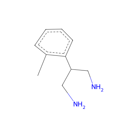 Cc1ccccc1C(CN)CN